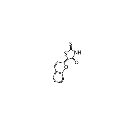 O=C1NC(=S)SC1=C1C=Cc2ccccc2O1